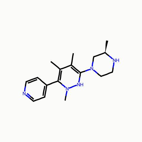 CC1=C(N2CCN[C@H](C)C2)NN(C)C(c2ccncc2)=C1C